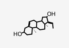 C/C=C1/C(O)CC2C3CC=C4CC(O)CC[C@]4(C)C3CC[C@]12C